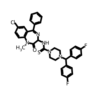 CN1C(=O)C(NC(=S)N2CCN(C(c3ccc(F)cc3)c3ccc(F)cc3)CC2)N=C(c2ccccc2)c2cc(Cl)ccc21